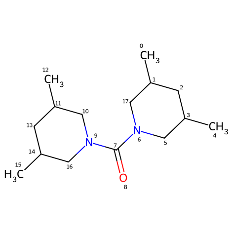 CC1CC(C)CN(C(=O)N2CC(C)CC(C)C2)C1